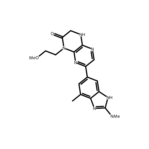 CNc1nc2c(C)cc(-c3cnc4c(n3)N(CCOC)C(=O)CN4)cc2[nH]1